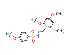 COc1ccc(S(=O)(=O)N(F)C=Cc2c(OC)cc(OC)cc2OC)cc1